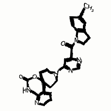 Cc1ccc2c(c1)CCN2C(=O)c1cc(N2CCC3(CC2)OC(=O)Nc2ncccc23)ncn1